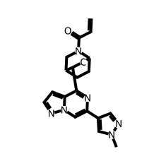 C=CC(=O)N1CC2CCC1CC2c1nc(-c2cnn(C)c2)cn2nccc12